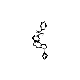 O=S(=O)(c1ccccc1)c1ccc2c(c1)C1CCN(C3CCC3)C1CO2